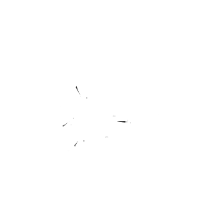 OC[C@H]1O[C@@H](N2CCc3ccccc32)[C@H](O)[C@@H](O)[C@]1(O)Cl